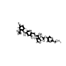 COc1ncc(OC(=O)N[C@@]2(C(=O)NCc3ncc(Nc4ccc(F)cc4C(F)(F)F)cc3Cl)CCOC2)cn1